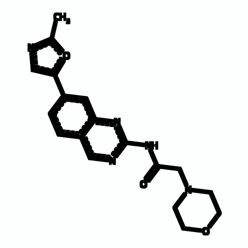 Cc1ncc(-c2ccc3cnc(NC(=O)CN4CCOCC4)nc3c2)o1